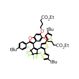 CCOC(=O)CCCOc1cc2oc(-c3ccc(C(C)(C)C)cc3)c(C3=C(c4cc(-c5cc(C(C)(C)C)cs5)sc4-c4cc(C(C)(C)C)cs4)C(F)(F)C(F)(F)C3(F)F)c2cc1OCCCC(=O)OCC